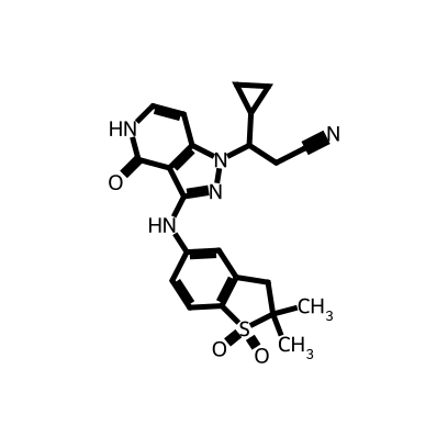 CC1(C)Cc2cc(Nc3nn(C(CC#N)C4CC4)c4cc[nH]c(=O)c34)ccc2S1(=O)=O